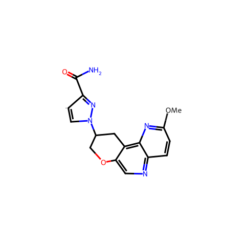 COc1ccc2ncc3c(c2n1)CC(n1c[c]c(C(N)=O)n1)CO3